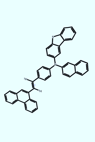 [2H]/C(=C(/[2H])c1cc2ccccc2c2ccccc12)c1ccc(N(c2ccc3ccccc3c2)c2ccc3sc4ccccc4c3c2)cc1